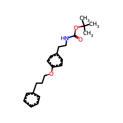 CC(C)(C)OC(=O)NCCc1ccc(OCCCc2ccccc2)cc1